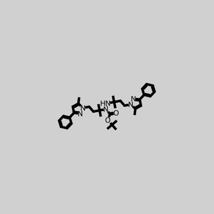 Cc1cc(-c2ccccc2)nn1CCC(C)(C)NN(C(=O)OC(C)(C)C)C(C)(C)CCn1nc(-c2ccccc2)cc1C